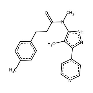 Cc1ccc(CCC(=O)N(C)c2[nH]nc(-c3ccncc3)c2C)cc1